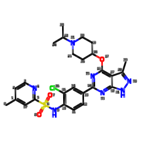 Cc1ccnc(S(=O)(=O)Nc2ccc(-c3nc(OC4CCN(C(C)C)CC4)c4c(C)n[nH]c4n3)cc2Cl)c1